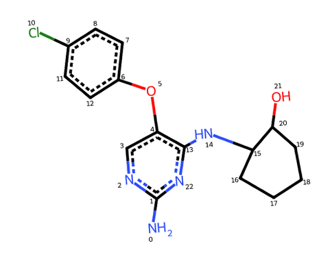 Nc1ncc(Oc2ccc(Cl)cc2)c(NC2CCCCC2O)n1